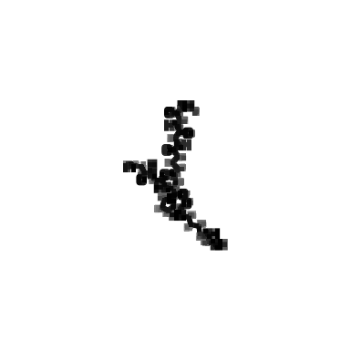 CC(C)CC(=O)NCC(=O)N[C@@H](CSCCCC(=O)NCC(=O)NCC(N)=O)C(=O)N1CCC[C@H]1C(=O)NCCCCNC=N